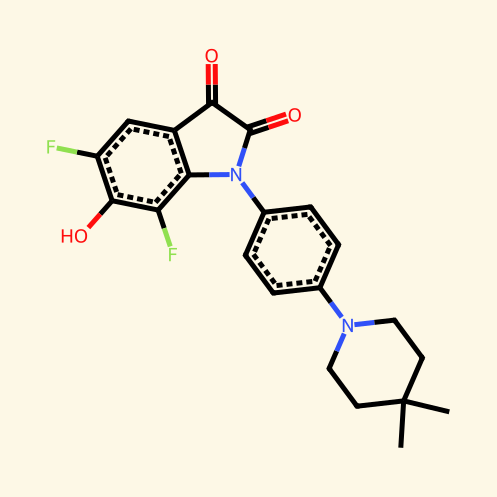 CC1(C)CCN(c2ccc(N3C(=O)C(=O)c4cc(F)c(O)c(F)c43)cc2)CC1